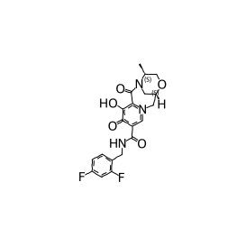 C[C@H]1CO[C@H]2CN1C(=O)c1c(O)c(=O)c(C(=O)NCc3ccc(F)cc3F)cn1C2